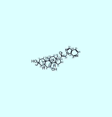 C[C@@]1(O)CC[C@@]2(C)[C@@H](C[C@@H](O)[C@@H]3[C@@H]2CC[C@]2(C)[C@@H](C(=O)Cn4ncc5ccncc54)CC[C@@H]32)C1